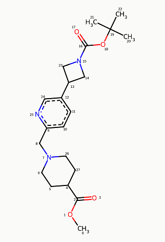 COC(=O)C1CCN(Cc2ccc(C3CN(C(=O)OC(C)(C)C)C3)cn2)CC1